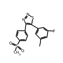 CS(=O)(=O)c1ccc(-c2nnsc2-c2cc(F)cc(F)c2)cc1